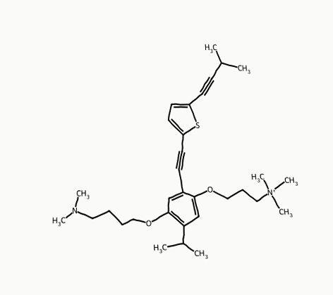 CC(C)C#Cc1ccc(C#Cc2cc(OCCCCN(C)C)c(C(C)C)cc2OCCC[N+](C)(C)C)s1